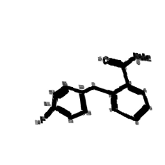 CNC(=O)c1ccccc1Cc1ccc(F)cc1